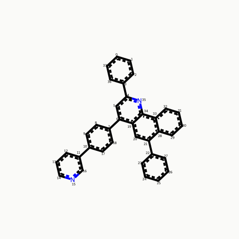 c1ccc(-c2cc(-c3ccc(-c4cccnc4)cc3)c3cc(-c4ccccc4)c4ccccc4c3n2)cc1